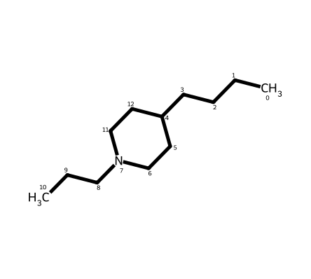 CCCCC1CCN(CCC)CC1